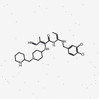 CC=C(NCc1ccc(Cl)c(Cl)c1)NC(=O)/C(NC1CCN(CC2CCCCN2)CC1)=C(\C)C=N